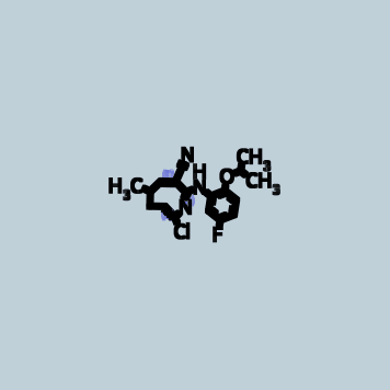 CC1\C=C(C#N)/C(Nc2cc(F)ccc2OC(C)C)=N\C(Cl)=C\C1